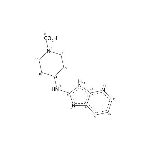 O=C(O)N1CCC(Nc2nc3cccnc3[nH]2)CC1